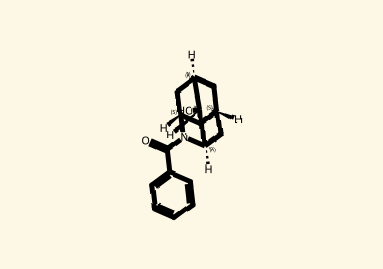 O=C(c1ccccc1)N1[C@H]2C[C@@H]3C[C@H](C2)[C@@H](O)[C@H]1C3